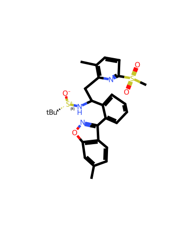 Cc1ccc2c(-c3ccccc3C(Cc3nc(S(C)(=O)=O)ccc3C)N[S@@+]([O-])C(C)(C)C)noc2c1